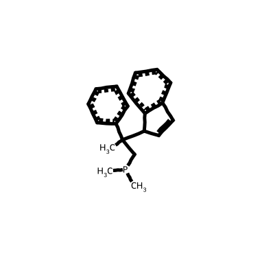 CP(C)CC(C)(c1ccccc1)C1C=Cc2ccccc21